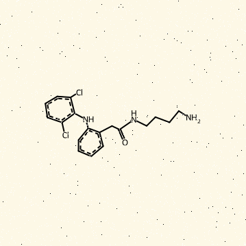 NCCCCNC(=O)Cc1ccccc1Nc1c(Cl)cccc1Cl